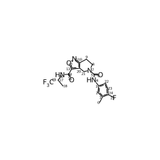 Cc1cc(NC(=O)N2CCc3noc(C(=O)N[C@H](C)C(F)(F)F)c3C2)ccc1F